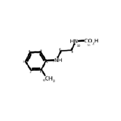 Cc1ccccc1NCCNC(=O)O